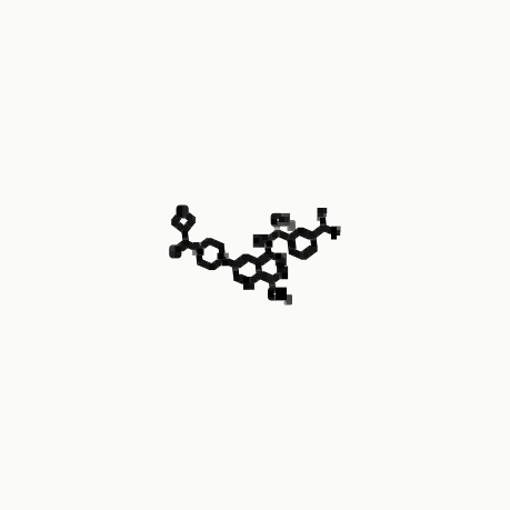 Cc1nnc(N[C@H](C)c2cccc(C(F)F)c2)c2cc(N3CCN(C(=O)C4COC4)CC3)cnc12